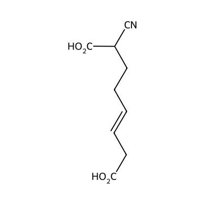 N#CC(CCC=CCC(=O)O)C(=O)O